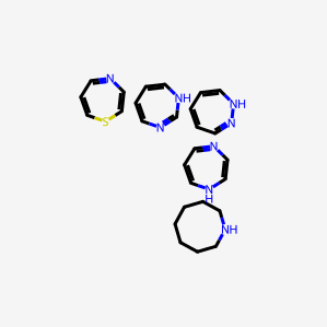 C1=CC=NNC=C1.C1=CN=CNC=C1.C1=CNC=CN=C1.C1=CSC=CN=C1.C1CCCNCCC1